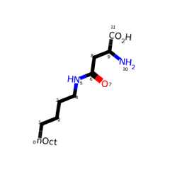 CCCCCCCCCCCCNC(=O)CC(N)C(=O)O